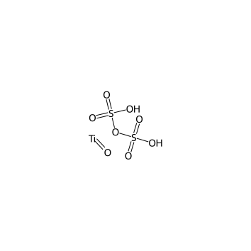 O=S(=O)(O)OS(=O)(=O)O.[O]=[Ti]